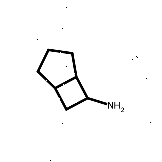 NC1CC2CCCC12